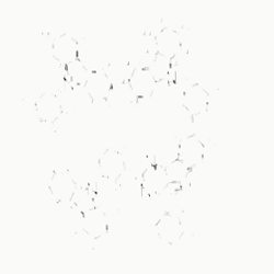 c1ccc(-c2nc(-c3cccc(-n4c5ccccc5c5ccccc54)c3)nc3c2oc2ccc(-c4cccc(-n5c6ccccc6c6cc(-c7ccc8c(c7)c7ccccc7n8-c7ccccc7)ccc65)c4)cc23)cc1